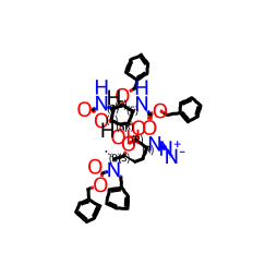 C[C@H]([C@@H]1CC[C@@H](N=[N+]=[N-])[C@@H](O[C@H]2[C@H](O)[C@H]3OC(=O)N[C@@H]3[C@@H](OCc3ccccc3)[C@@H]2NC(=O)OCc2ccccc2)O1)N(Cc1ccccc1)C(=O)OCc1ccccc1